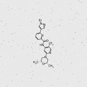 CCn1cc(-c2cccc(C(=O)Nc3cc(N4C[C@@H](C)O[C@@H](C)C4)ncc3C(F)(F)F)n2)cn1